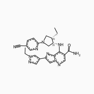 CC[C@H]1CN(c2ccc(C#N)cn2)C[C@H]1Nc1c(C(N)=O)cnn2cc(-c3cnn(CC)c3)nc12